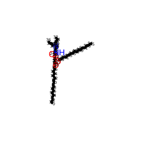 CCCCCCCCC=CCCCCCCCCOCC(COC(=O)NCCN(CCCC)CCCC)OCCCCCCCCC=CCCCCCCCC